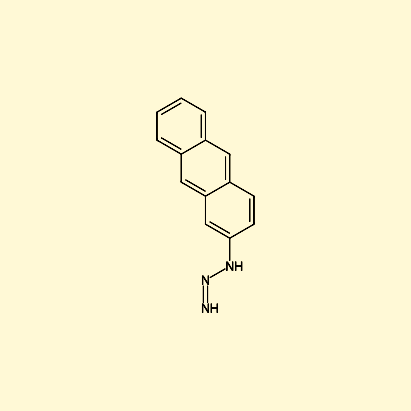 N=NNc1ccc2cc3ccccc3cc2c1